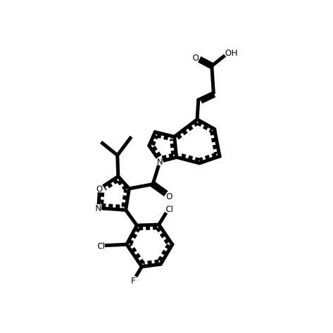 CC(C)c1onc(-c2c(Cl)ccc(F)c2Cl)c1C(=O)n1ccc2c(/C=C/C(=O)O)cccc21